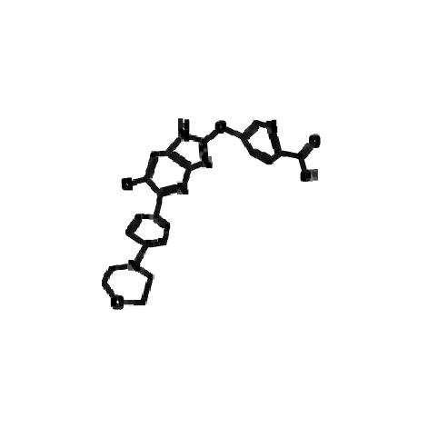 O=C(O)c1ccc(Oc2nc3nc(-c4ccc(N5CCOCC5)cc4)c(Cl)cc3[nH]2)cn1